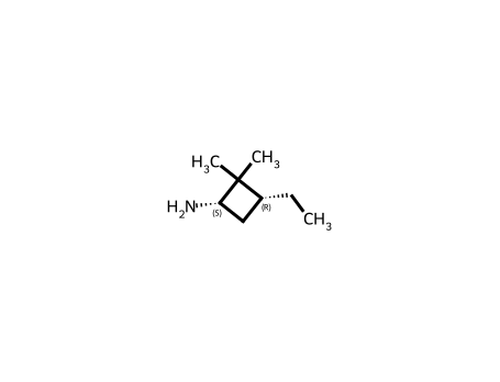 CC[C@@H]1C[C@H](N)C1(C)C